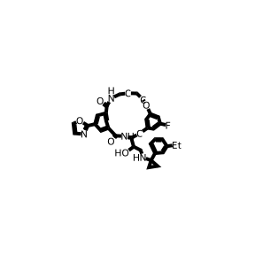 CCc1cccc(C2(NCC(O)C3Cc4cc(F)cc(c4)OCCCCNC(=O)c4cc(cc(-c5ncco5)c4)C(=O)N3)CC2)c1